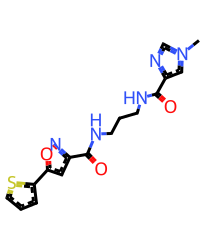 Cn1cnc(C(=O)NCCCNC(=O)c2cc(-c3cccs3)on2)c1